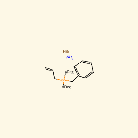 Br.C=CC[PH](CCCCCCCCCC)(CCCCCCCCCC)Cc1ccccc1.N